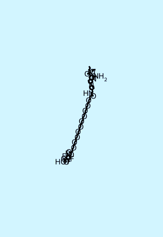 CCCN(OCC)C(=O)C1=Cc2ccc(N3CCC(CNC(=O)CCOCCOCCOCCOCCOCCOCCOCCOCCOCCOCCC(=O)Oc4c(F)c(F)c(S(=O)(=O)O)c(F)c4F)CC3)cc2N=C(N)C1